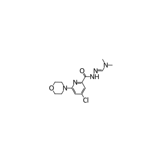 CN(C)/C=N/NC(=O)c1cc(Cl)cc(N2CCOCC2)n1